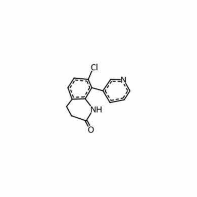 O=C1CCc2ccc(Cl)c(-c3cccnc3)c2N1